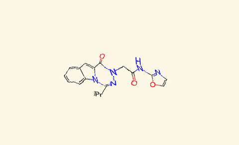 CC(C)c1nn(CC(=O)Nc2ncco2)c(=O)c2cc3ccccc3n12